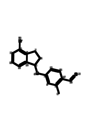 Cc1cc(OC2CCc3c(Br)cccc32)ccc1C=O